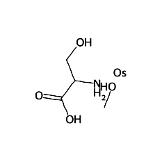 CO.NC(CO)C(=O)O.[Os]